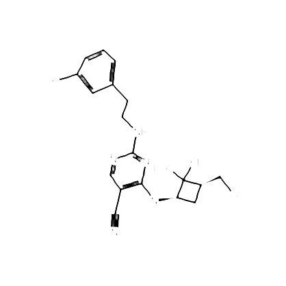 Cc1cccc(CCNc2ncc(C#N)c(N[C@@H]3C[C@H](CO)C3(C)C)n2)c1